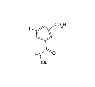 CC(C)(C)NC(=O)c1cc(I)cc(C(=O)O)c1